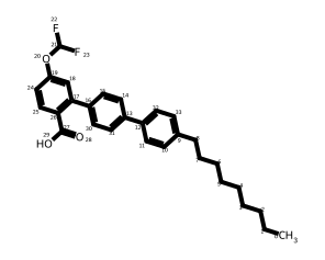 CCCCCCCCCc1ccc(-c2ccc(-c3cc(OC(F)F)ccc3C(=O)O)cc2)cc1